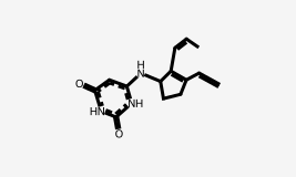 C=CC1=C(/C=C\C)C(Nc2cc(=O)[nH]c(=O)[nH]2)CC1